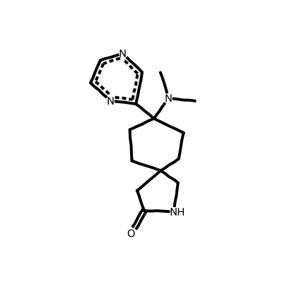 CN(C)C1(c2cnccn2)CCC2(CC1)CNC(=O)C2